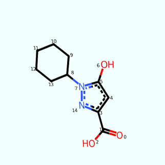 O=C(O)c1cc(O)n(C2CCCCC2)n1